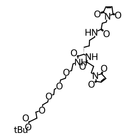 CC(C)(C)OC(=O)CCOCCOCCOCCOCCNC(=O)[C@H](CCCCNC(=O)CCN1C(=O)C=CC1=O)NC(=O)CCN1C(=O)C=CC1=O